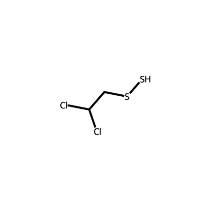 SSCC(Cl)Cl